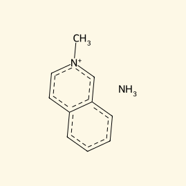 C[n+]1ccc2ccccc2c1.N